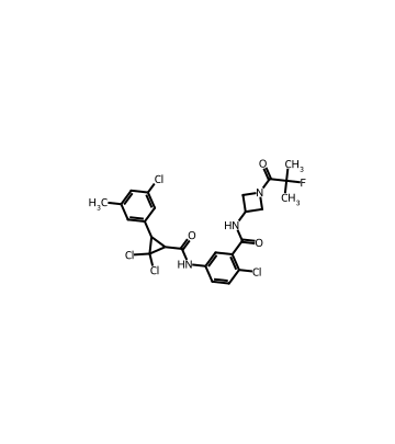 Cc1cc(Cl)cc(C2C(C(=O)Nc3ccc(Cl)c(C(=O)NC4CN(C(=O)C(C)(C)F)C4)c3)C2(Cl)Cl)c1